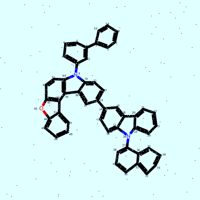 c1ccc(-c2cccc(-n3c4ccc(-c5ccc6c(c5)c5ccccc5n6-c5cccc6ccccc56)cc4c4c5c(ccc43)oc3ccccc35)c2)cc1